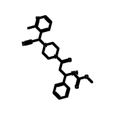 COC(=O)NC(CC(=O)N1CCN(C(C#N)c2cccnc2C)CC1)c1ccccc1